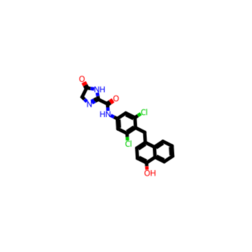 O=C1CN=C(C(=O)Nc2cc(Cl)c(Cc3ccc(O)c4ccccc34)c(Cl)c2)N1